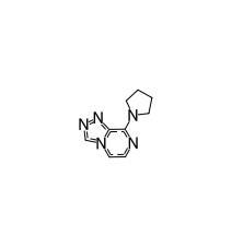 c1cn2cnnc2c(N2CCCC2)n1